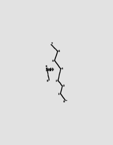 [CH2]CCCCCCC.[CH3][SnH]